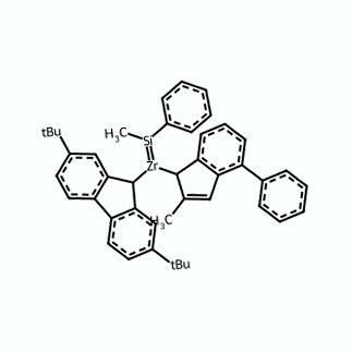 CC1=Cc2c(-c3ccccc3)cccc2[CH]1[Zr]([CH]1c2cc(C(C)(C)C)ccc2-c2ccc(C(C)(C)C)cc21)=[Si](C)c1ccccc1